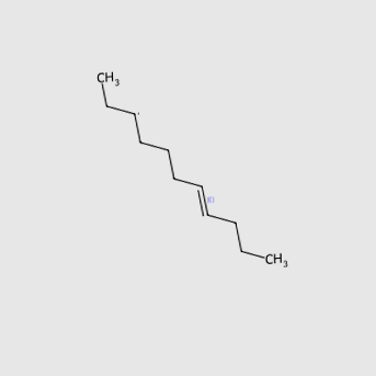 CC[CH]CCC/C=C/CCC